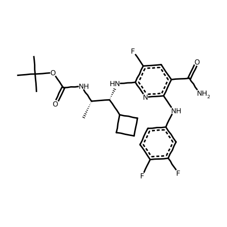 C[C@H](NC(=O)OC(C)(C)C)[C@H](Nc1nc(Nc2ccc(F)c(F)c2)c(C(N)=O)cc1F)C1CCC1